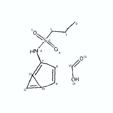 CCCS(=O)(=O)Nc1ccc2cc1-2.O=CO